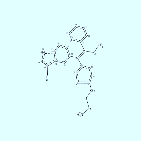 NCCOc1ccc(C(=C(CC(F)(F)F)c2ccccc2)c2ccc3[nH]nc(F)c3c2)cc1